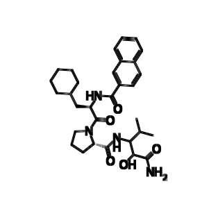 CC(C)C(NC(=O)[C@@H]1CCCN1C(=O)[C@@H](CC1CCCCC1)NC(=O)c1ccc2ccccc2c1)C(O)C(N)=O